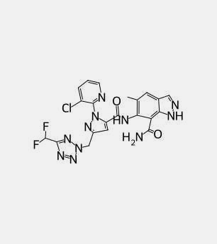 Cc1cc2cn[nH]c2c(C(N)=O)c1NC(=O)c1cc(Cn2nnc(C(F)F)n2)nn1-c1ncccc1Cl